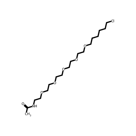 CC(=O)NCCOCCOCCOCCOCCOCCCCCCCl